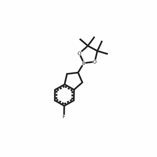 CC1(C)OB(C2Cc3ccc(F)cc3C2)OC1(C)C